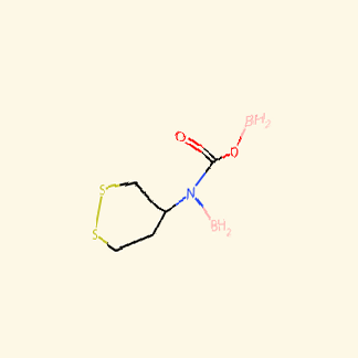 BOC(=O)N(B)C1CCSSC1